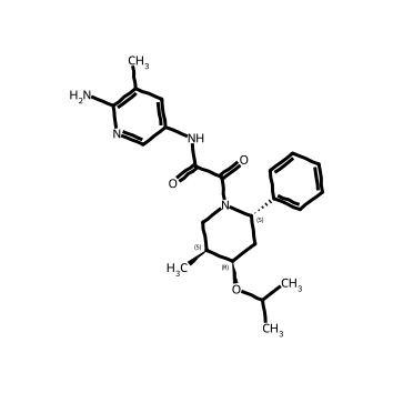 Cc1cc(NC(=O)C(=O)N2C[C@H](C)[C@H](OC(C)C)C[C@H]2c2ccccc2)cnc1N